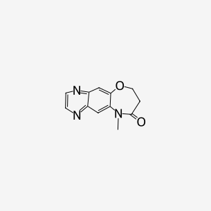 CN1C(=O)CCOc2cc3nccnc3cc21